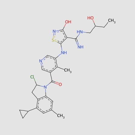 CCC(O)CNC(=N)c1c(O)nsc1Nc1cncc(C(=O)N2c3cc(C)cc(C4CC4)c3CC2Cl)c1C